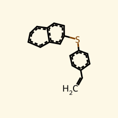 C=Cc1ccc(Sc2ccc3ccccc3c2)cc1